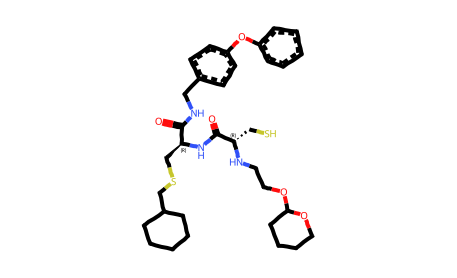 O=C(N[C@@H](CSCC1CCCCC1)C(=O)NCc1ccc(Oc2ccccc2)cc1)[C@H](CS)NCCOC1CCCCO1